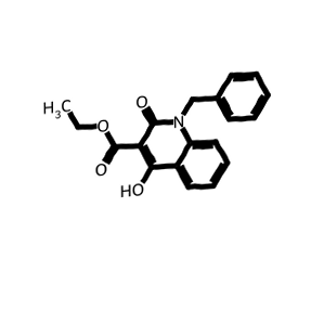 CCOC(=O)c1c(O)c2ccccc2n(Cc2ccccc2)c1=O